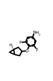 Nc1cc(F)c(OC2CC3C[C@H]3C2)c(F)c1